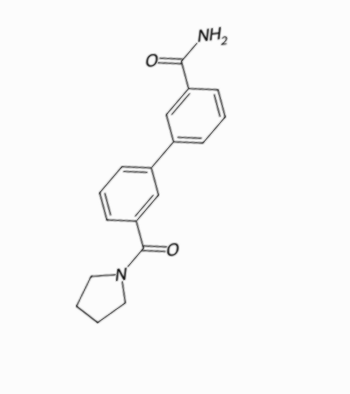 NC(=O)c1cccc(-c2cccc(C(=O)N3CCCC3)c2)c1